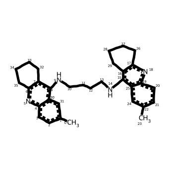 Cc1ccc2nc3c(c(NCCCCNc4c5c(nc6ccc(C)cc46)CCCC5)c2c1)CCCC3